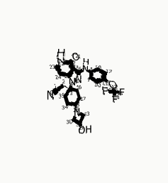 N#CC[C@]1(n2nc(Nc3ccc(OC(F)(F)F)cc3)c3c(=O)[nH]ccc32)CC[C@@H](N2CC(O)C2)CC1